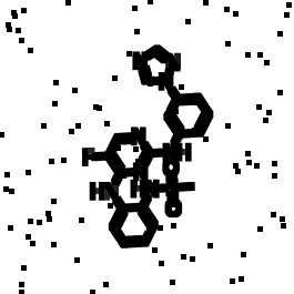 CS(=O)(=O)Nc1ccccc1Nc1nc(Nc2cccc(-n3cncn3)c2)ncc1F